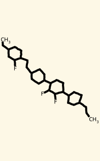 CCCC1CCC(C2CCC(C3CCC(CCC4CCC(CC)CC4F)CC3)C(F)C2F)CC1